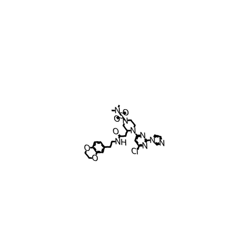 CN(C)S(=O)(=O)N1CCN(c2cc(Cl)nc(-n3ccnc3)n2)C(CC(=O)NCCc2ccc3c(c2)OCCO3)C1